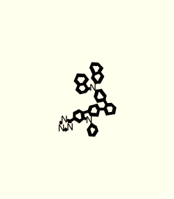 c1ccc(-n2c3cc(-c4ncncn4)ccc3c3ccc(-c4ccccc4-c4ccc(N(c5ccc6ccccc6c5)c5cccc6ccccc56)cc4)cc32)cc1